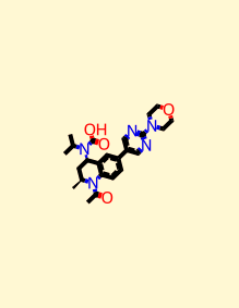 CC(=O)N1c2ccc(-c3cnc(N4CCOCC4)nc3)cc2[C@H](N(C(=O)O)C(C)C)C[C@@H]1C